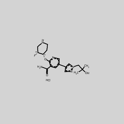 CC(C)(O)Cn1cc(-c2cnc(O[C@H]3CCNC[C@H]3F)c(C(N)=O)c2)cn1.Cl